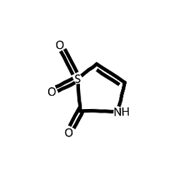 O=C1NC=CS1(=O)=O